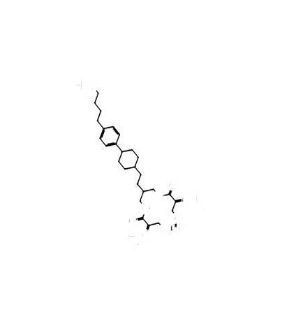 C=C(CO)C(=O)OCC(CCC1CCC(c2ccc(CCCCC)cc2)CC1)COC(=O)C(=C)COC